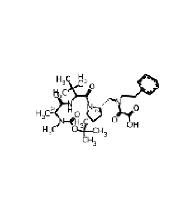 C[C@@H](C(=O)NC(C(=O)N1CCC[C@H]1CN(CCc1ccccc1)C(=O)C(=O)O)C(C)(C)C)N(C)C(=O)OC(C)(C)C